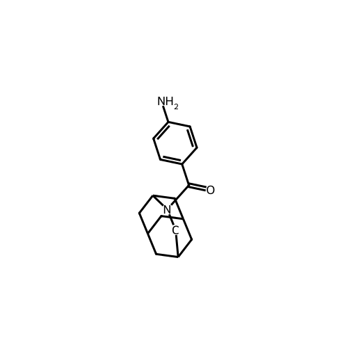 Nc1ccc(C(=O)N2CC3CC4CC(C3)CC2C4)cc1